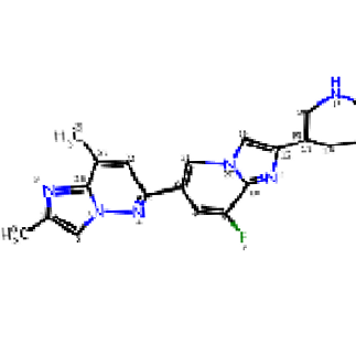 Cc1cn2nc(-c3cc(F)c4nc([C@@H]5CCCNC5)cn4c3)cc(C)c2n1